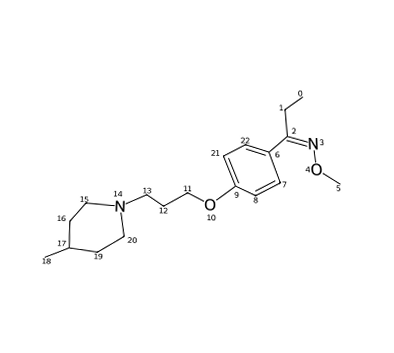 CC/C(=N/OC)c1ccc(OCCCN2CCC(C)CC2)cc1